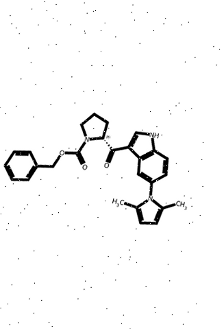 Cc1ccc(C)n1-c1ccc2[nH]cc(C(=O)[C@H]3CCCN3C(=O)OCc3ccccc3)c2c1